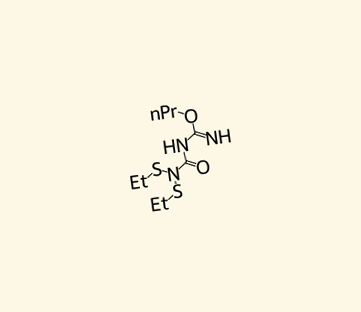 CCCOC(=N)NC(=O)N(SCC)SCC